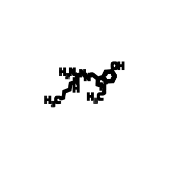 CCCCCNC(N)=NN=Cc1cn(CC)c2ccc(O)cc12